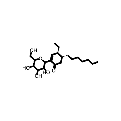 CCCCCCC[C@@H]1CC(=O)C(C2OC(CO)C(O)C(O)C2O)=C[C@H]1CC